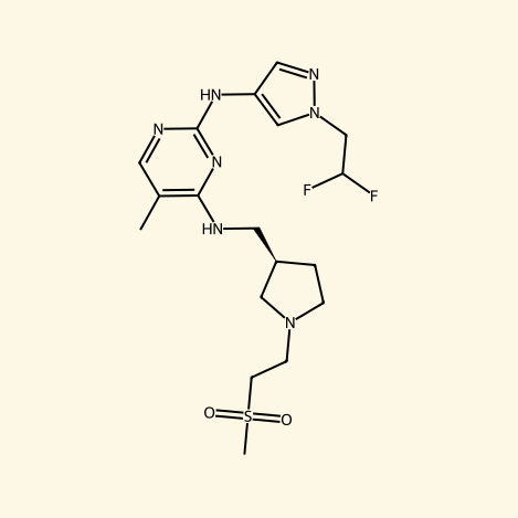 Cc1cnc(Nc2cnn(CC(F)F)c2)nc1NC[C@H]1CCN(CCS(C)(=O)=O)C1